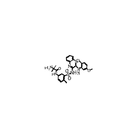 COc1ccc(Cl)c(Nc2nc3ccccc3nc2NS(=O)(=O)c2cc(NC(=O)C(C)(C)N)ccc2C)c1